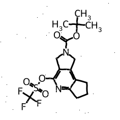 CC(C)(C)OC(=O)N1Cc2c(OS(=O)(=O)C(F)(F)F)nc3c(c2C1)CCC3